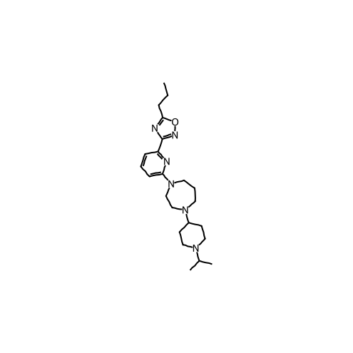 CCCc1nc(-c2cccc(N3CCCN(C4CCN(C(C)C)CC4)CC3)n2)no1